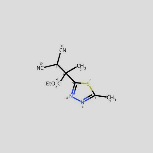 CCOC(=O)C(C)(c1nnc(C)s1)C(C#N)C#N